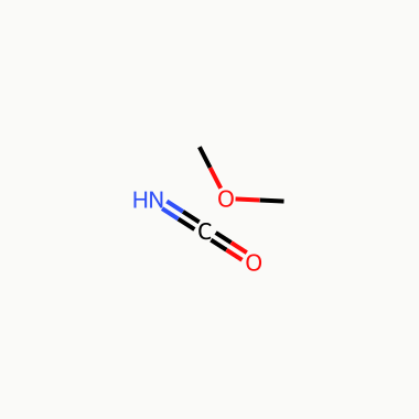 COC.N=C=O